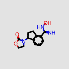 N=C(NO)c1cccc2c1CCC2N1CCOC1=O